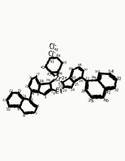 CCC1=Cc2c(-c3cccc4ccccc34)cccc2[CH]1[Zr+2]1([CH]2C(CC)=Cc3c(-c4cccc5ccccc45)cccc32)[CH]2CCCC[CH]21.[Cl-].[Cl-]